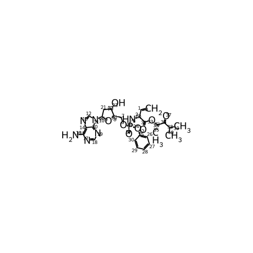 C=C[C@H](N[P@](=O)(OC[C@H]1O[C@@H](n2cnc3c(N)ncnc32)C[C@@H]1O)Oc1ccccc1)C(=O)O[C@@H](C)C(=O)C(C)C